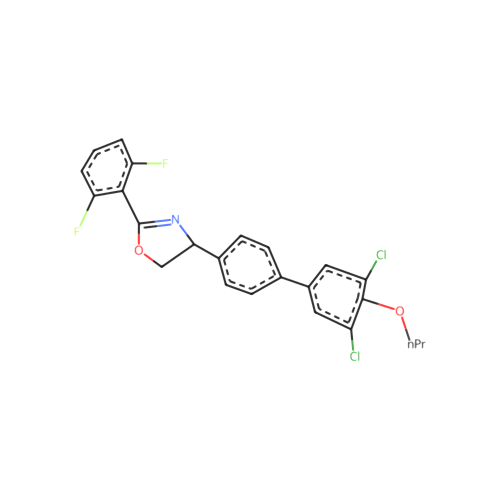 CCCOc1c(Cl)cc(-c2ccc(C3COC(c4c(F)cccc4F)=N3)cc2)cc1Cl